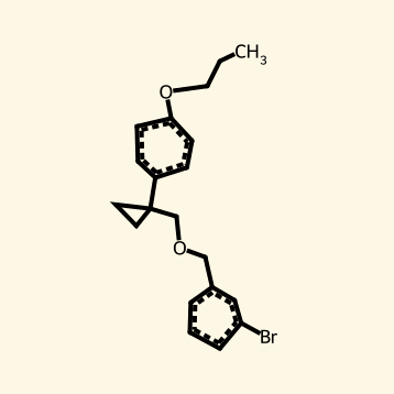 CCCOc1ccc(C2(COCc3cccc(Br)c3)CC2)cc1